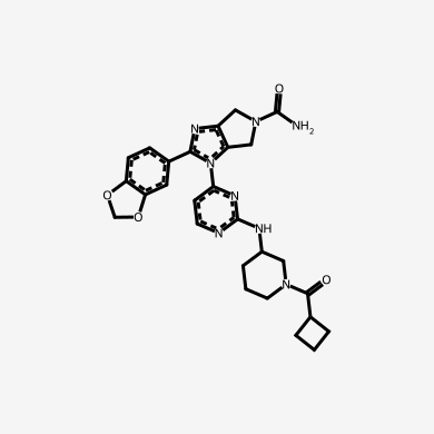 NC(=O)N1Cc2nc(-c3ccc4c(c3)OCO4)n(-c3ccnc(NC4CCCN(C(=O)C5CCC5)C4)n3)c2C1